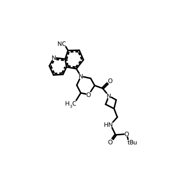 CC1CN(c2ccc(C#N)c3ncccc23)CC(C(=O)N2CC(CNC(=O)OC(C)(C)C)C2)O1